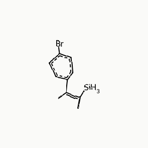 CC([SiH3])=C(C)c1ccc(Br)cc1